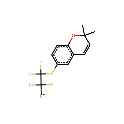 CC1(C)C=Cc2cc(SC(F)(F)C(F)(F)C(F)(F)F)ccc2O1